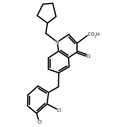 O=C(O)c1cn(CC2CCCC2)c2ccc(Cc3cccc(Cl)c3Cl)cc2c1=O